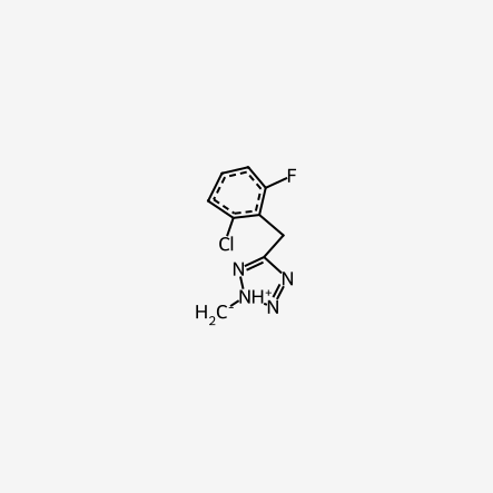 [CH2-][NH+]1N=NC(Cc2c(F)cccc2Cl)=N1